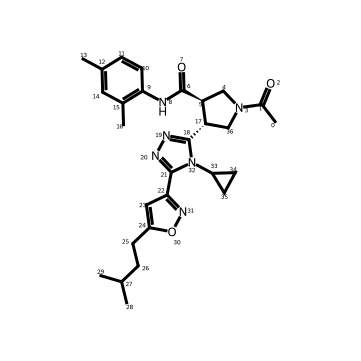 CC(=O)N1C[C@H](C(=O)Nc2ccc(C)cc2C)[C@@H](c2nnc(-c3cc(CCC(C)C)on3)n2C2CC2)C1